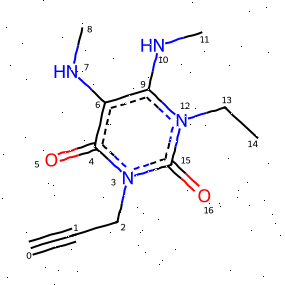 C#CCn1c(=O)c(NC)c(NC)n(CC)c1=O